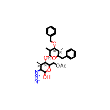 CC(=O)OCC1OC(O)C(N=[N+]=[N-])[C@@H](C)[C@@H]1O[C@@H]1OC(Cc2ccccc2)[C@@H](C)[C@@H](OCc2ccccc2)C1C